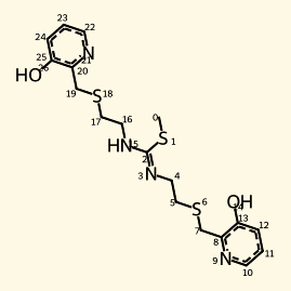 CS/C(=N\CCSCc1ncccc1O)NCCSCc1ncccc1O